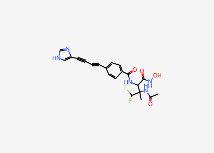 CC(=O)NC(C)(C(F)F)C(NC(=O)c1ccc(C#CC#Cc2c[nH]cn2)cc1)C(=O)NO